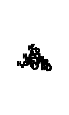 C=CC(=O)N1CCCC[C@@H](n2c(NC(=O)c3ccccc3)nc3cc4c(c(C)c32)N(C)CC(F)(F)CO4)C1